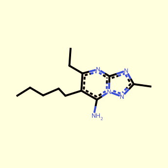 CCCCCc1c(CC)nc2nc(C)nn2c1N